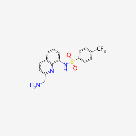 NCc1ccc2cccc(NS(=O)(=O)c3ccc(C(F)(F)F)cc3)c2n1